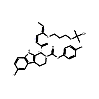 C=C(/C=C\C(=C/C)OCCCOC(C)(C)O)[C@H]1c2[nH]c3ccc(Cl)cc3c2CCN1C(=O)Oc1ccc(Cl)cc1